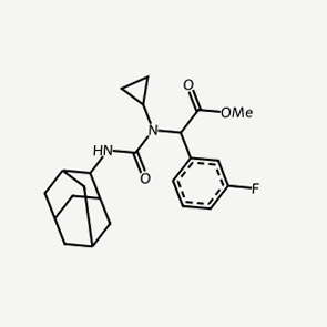 COC(=O)C(c1cccc(F)c1)N(C(=O)NC1C2CC3CC(C2)CC1C3)C1CC1